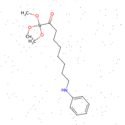 CO[Si](OC)(OC)C(=O)CCCCCCCNc1ccccc1